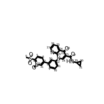 CS(=O)(=O)c1ccc(-c2cccc(-n3cc(C(=O)NC4CC4)c(=O)c4cccnc43)c2)c[n+]1[O-]